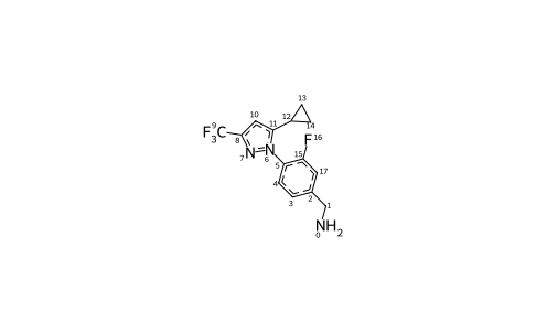 NCc1ccc(-n2nc(C(F)(F)F)cc2C2CC2)c(F)c1